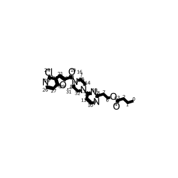 CCCC(=O)OCCc1nccc(N2C[C@@H](C)N(C(=O)c3cc4c(Cl)nccc4o3)[C@@H](C)C2)n1